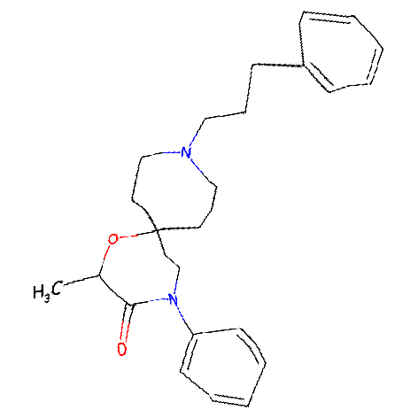 CC1OC2(CCN(CCCc3ccccc3)CC2)CN(c2ccccc2)C1=O